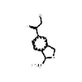 CCOC(=O)C1SCc2cc(C(=O)CBr)ccc21